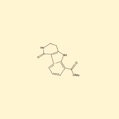 COC(=O)c1cccc2c3c([nH]c12)CCNC3=O